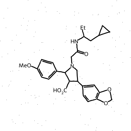 CCC(CC1CC1)NC(=O)CN1CC(c2ccc3c(c2)OCO3)C(C(=O)O)C1c1ccc(OC)cc1